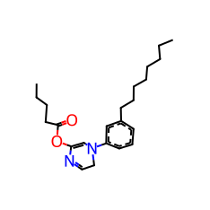 CCCCCCCCc1cccc(N2C=C(OC(=O)CCCC)N=CC2)c1